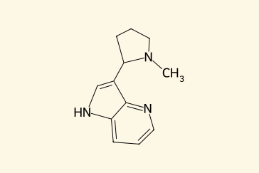 CN1CCCC1c1c[nH]c2cccnc12